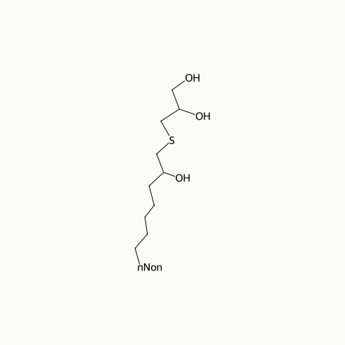 CCCCCCCCCCCCCCC(O)CSCC(O)CO